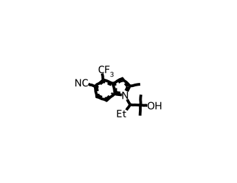 CCC(n1c(C)cc2c(C(F)(F)F)c(C#N)ccc21)C(C)(C)O